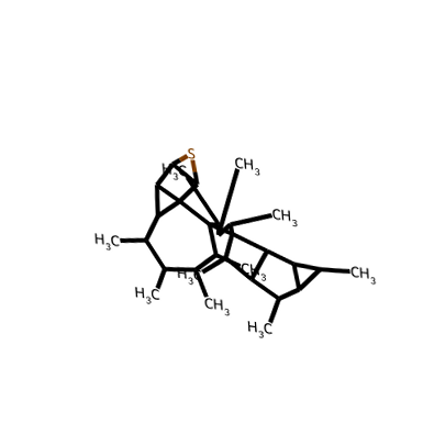 CC1C(C)C2C3C4SC4C23C2(C(C)C1C)C(C)C(C)C(C)C21C(C)C2C(C)C3C(C)C3C21